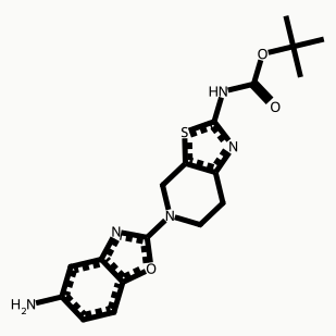 CC(C)(C)OC(=O)Nc1nc2c(s1)CN(c1nc3cc(N)ccc3o1)CC2